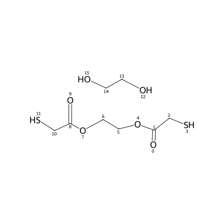 O=C(CS)OCCOC(=O)CS.OCCO